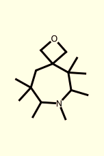 CC1N(C)C(C)C(C)(C)C2(COC2)CC1(C)C